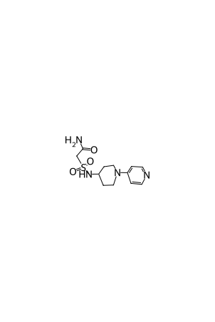 NC(=O)CS(=O)(=O)NC1CCN(c2ccncc2)CC1